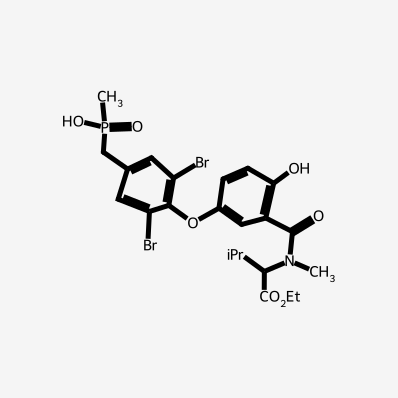 CCOC(=O)C(C(C)C)N(C)C(=O)c1cc(Oc2c(Br)cc(CP(C)(=O)O)cc2Br)ccc1O